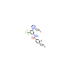 Cc1ccc(C(=O)Nc2cc(-n3ccnc3C)cc(C(F)(F)F)c2)cc1I